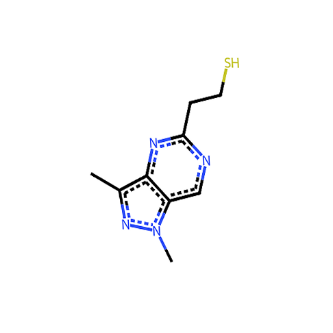 Cc1nn(C)c2cnc(CCS)nc12